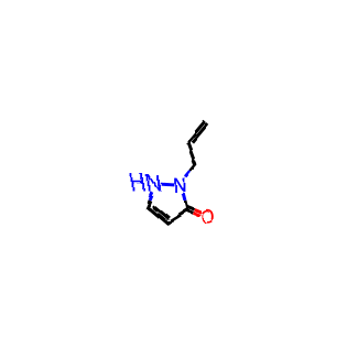 C=CCn1[nH]ccc1=O